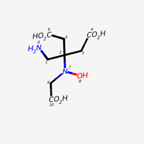 NCC(CC(=O)O)(CC(=O)O)N(O)CC(=O)O